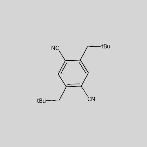 CC(C)(C)Cc1cc(C#N)c(CC(C)(C)C)cc1C#N